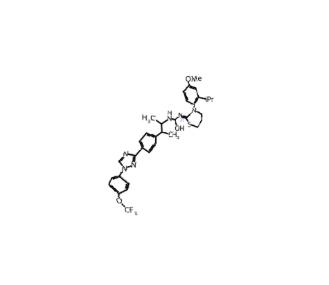 COc1ccc(N2CCCS/C2=N\C(O)NC(C)C(C)c2ccc(-c3ncn(-c4ccc(OC(F)(F)F)cc4)n3)cc2)c(C(C)C)c1